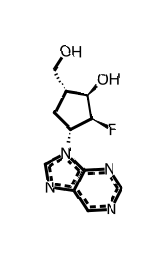 OC[C@H]1C[C@@H](n2cnc3cncnc32)[C@H](F)[C@@H]1O